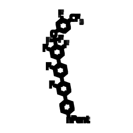 CCCCCc1ccc(-c2ccc(-c3ccc(-c4cc(F)c(C(F)(F)Oc5ccc(C(F)(F)F)c(F)c5)c(F)c4)c(F)c3)c(F)c2)cc1